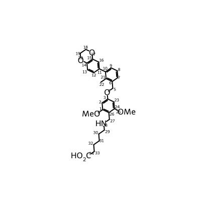 COc1cc(OCc2cccc(-c3ccc4c(c3)OCCO4)c2C)cc(OC)c1CNCCCCCC(=O)O